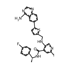 C[C@H](NC(=O)c1cc(I)ncc1NCc1ccc(-c2ccc3ncnc(N)c3c2)s1)c1ccc(F)cc1